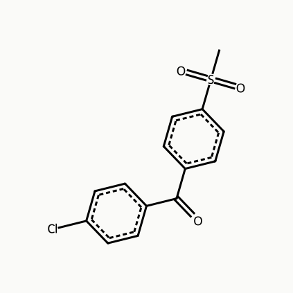 CS(=O)(=O)c1ccc(C(=O)c2ccc(Cl)cc2)cc1